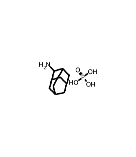 NC1C2CC3CC(C2)CC1C3.O=P(O)(O)O